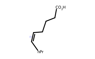 CCC/C=C\CCCC(=O)O